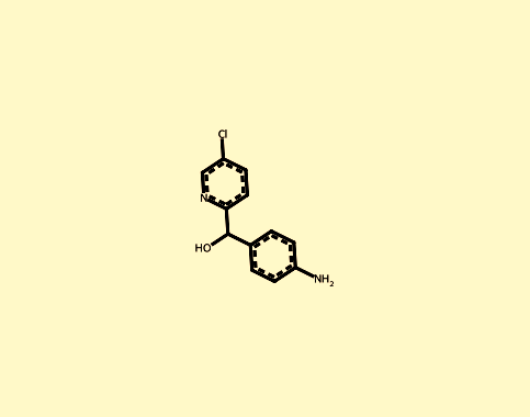 Nc1ccc(C(O)c2ccc(Cl)cn2)cc1